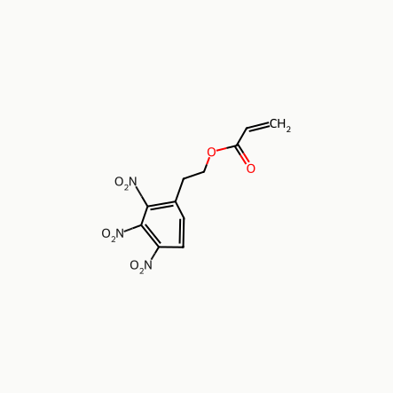 C=CC(=O)OCCc1ccc([N+](=O)[O-])c([N+](=O)[O-])c1[N+](=O)[O-]